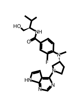 CC(C)[C@H](CO)NC(=O)c1ccc(N(C)[C@@H]2CCN(c3ncnc4[nH]ccc34)C2)c(F)c1